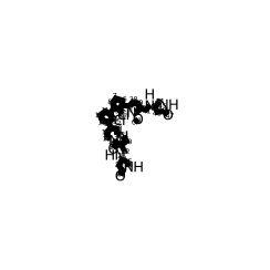 COc1nc(-c2cccc(-c3cccc(-c4ccn5c(=O)c(CN[C@@H]6CNC(=O)C6)cnc5c4)c3Cl)c2Cl)ccc1CN[C@@H]1CNC(=O)C1